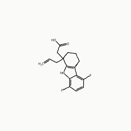 C=CCC1(CC(=O)O)CCCc2c1[nH]c1c(F)ccc(F)c21